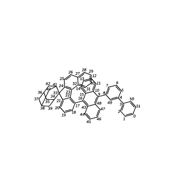 c1ccc(-c2cccc(-c3c4ccccc4c(-c4cccc5c4-c4c(ccc6ccccc46)C54C5CC6CC(C5)CC4C6)c4ccccc34)c2)cc1